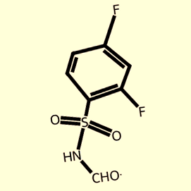 O=[C]NS(=O)(=O)c1ccc(F)cc1F